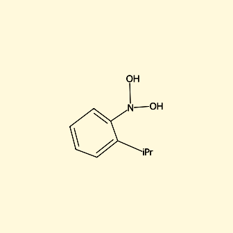 CC(C)c1ccccc1N(O)O